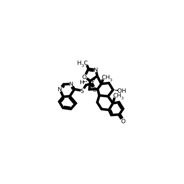 CC1=N[C@]2(C(=O)CSc3ncnc4ccccc34)[C@@H](CC3C4CCC5=CC(=O)C=CC5(C)C4[C@@H](O)CC32C)O1